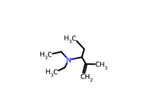 C=C(C)C(CC)N(CC)CC